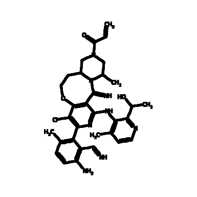 C=CC(=O)N1CC(C)N2C(=N)c3c(Nc4c(C)ccnc4C(C)O)nc(-c4c(C)ccc(N)c4C=N)c(Cl)c3OCCC2C1